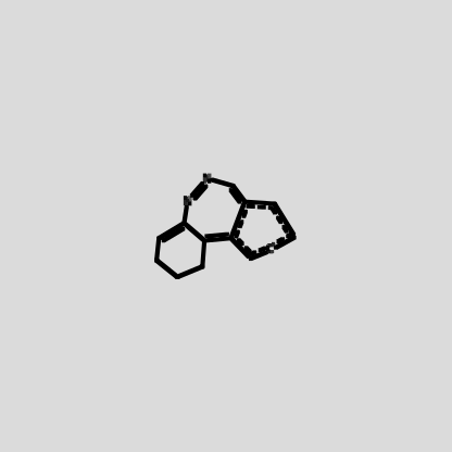 C1=C2N=NC=c3ccccc3=C2CCC1